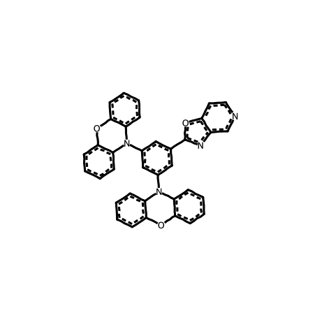 c1ccc2c(c1)Oc1ccccc1N2c1cc(-c2nc3cnccc3o2)cc(N2c3ccccc3Oc3ccccc32)c1